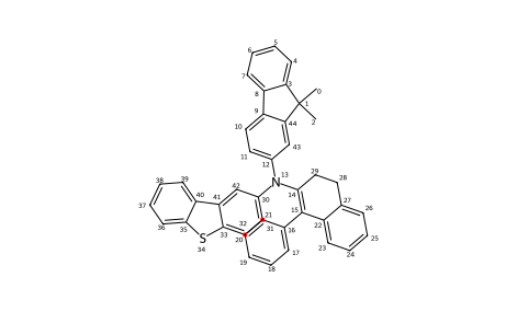 CC1(C)c2ccccc2-c2ccc(N(C3=C(c4ccccc4)c4ccccc4CC3)c3ccc4sc5ccccc5c4c3)cc21